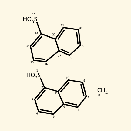 C.O=S(=O)(O)c1cccc2ccccc12.O=S(=O)(O)c1cccc2ccccc12